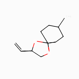 C=CC1COC2(CCC(C(C)(C)C)CC2)O1